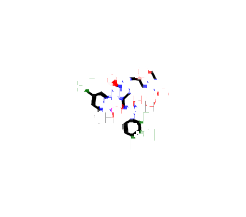 Cc1cc(C(F)(F)F)cc(N2C(=O)N(CC3CN(C(=O)O)CCO3)CC2C(=O)N(C)c2ccc(F)c(Cl)c2F)n1